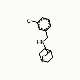 Clc1cccc(CNC2CN3CCC2CC3)c1